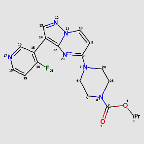 CC(C)OC(=O)N1CCN(c2ccn3ncc(-c4cnccc4F)c3n2)CC1